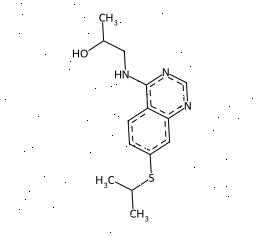 CC(O)CNc1ncnc2cc(SC(C)C)ccc12